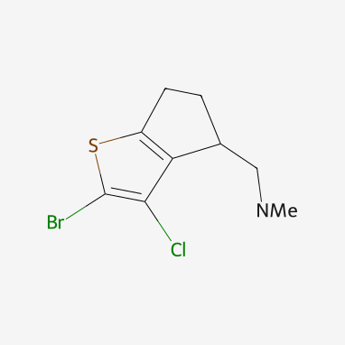 CNCC1CCc2sc(Br)c(Cl)c21